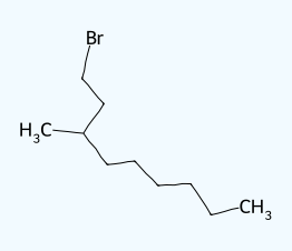 CCCCCCC(C)CCBr